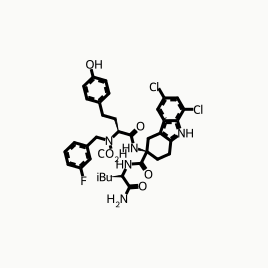 CC[C@H](C)C(NC(=O)[C@@]1(NC(=O)[C@H](CCc2ccc(O)cc2)N(Cc2cccc(F)c2)C(=O)O)CCc2[nH]c3c(Cl)cc(Cl)cc3c2C1)C(N)=O